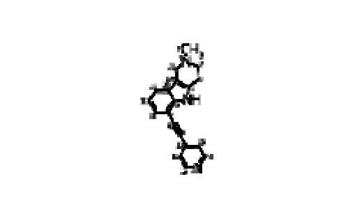 CN1CCc2[nH]c3c(C#Cc4ccncc4)cccc3c2C1